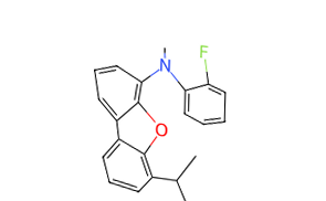 CC(C)c1cccc2c1oc1c(N(C)c3ccccc3F)cccc12